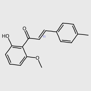 COc1cccc(O)c1C(=O)/C=C/c1ccc(C)cc1